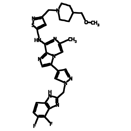 COCC1CCN(Cc2cc(Nc3nc(C)cn4c(-c5cnn(Cc6nc7c(F)c(F)ccc7[nH]6)c5)cnc34)sn2)CC1